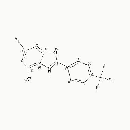 FC(F)(F)c1ccc(-c2nc3c(Cl)cc(I)cc3o2)cc1